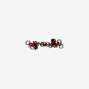 CC(F)(F)SN1CCC(Nc2cc(OCCCCCCNCCCOCCO[C@@H]3CCC[C@H](CCOCCCNC(=O)CCCCCOc4cc(NC5CCN(S(=O)(=O)C(F)(F)F)CC5)c5cc(C(c6ccc(Cl)cc6)c6ccc(Cl)cc6)ccc5n4)C3)nc3ccc(C(c4ccc(Cl)cc4)c4ccc(Cl)cc4)cc23)CC1